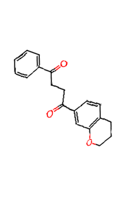 O=C(CCC(=O)c1ccc2c(c1)OCCC2)c1ccccc1